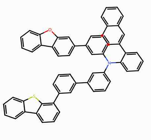 c1cc(-c2cccc(N(c3cccc(-c4ccc5c(c4)oc4ccccc45)c3)c3ccccc3-c3ccc4ccccc4c3)c2)cc(-c2cccc3c2sc2ccccc23)c1